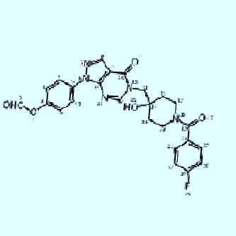 O=COc1ccc(-n2ncc3c(=O)n(CC4(O)CCN(C(=O)c5ccc(F)cc5)CC4)cnc32)cc1